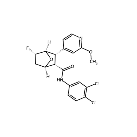 COc1cc([C@H]2[C@H]3O[C@H](C[C@@H]3F)[C@H]2C(=O)Nc2ccc(Cl)c(Cl)c2)ccn1